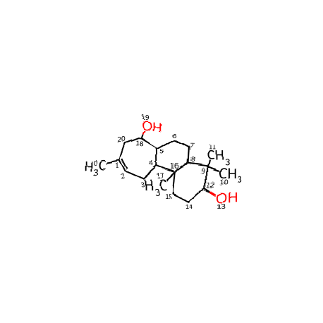 CC1=CCC2C(CCC3C(C)(C)C(O)CCC23C)C(O)C1